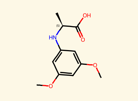 COc1cc(N[C@@H](C)C(=O)O)cc(OC)c1